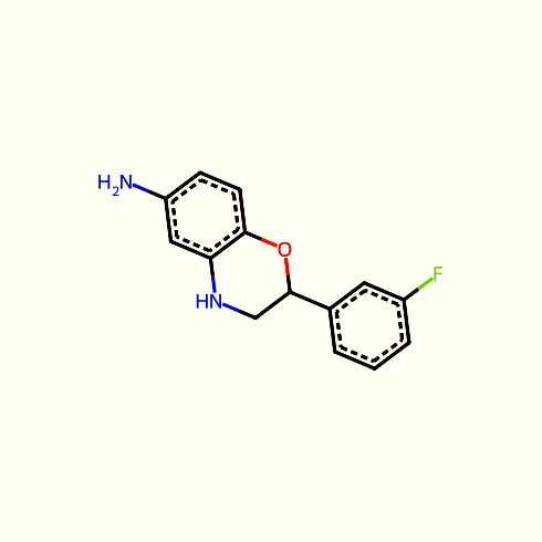 Nc1ccc2c(c1)NCC(c1cccc(F)c1)O2